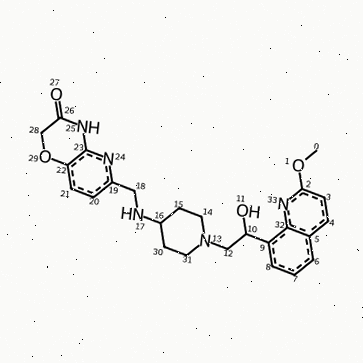 COc1ccc2cccc(C(O)CN3CCC(NCc4ccc5c(n4)NC(=O)CO5)CC3)c2n1